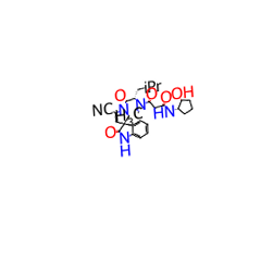 CC(C)C[C@@H](C(=O)N1C[C@]2(C[C@H]1C#N)C(=O)Nc1ccccc12)N(C)C(=O)CC(=O)N[C@H]1CCC[C@H]1O